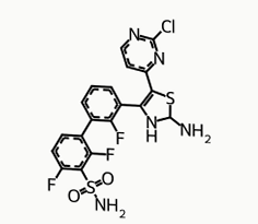 NC1NC(c2cccc(-c3ccc(F)c(S(N)(=O)=O)c3F)c2F)=C(c2ccnc(Cl)n2)S1